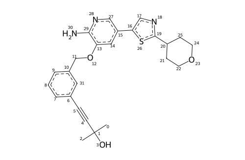 CC(C)(O)C#Cc1cccc(COc2cc(-c3cnc(C4CCOCC4)s3)cnc2N)c1